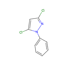 Clc1cc(Cl)n(-c2ccccc2)n1